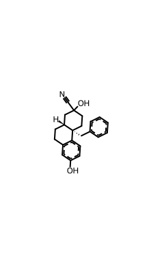 N#CC1(O)CC[C@@]2(Cc3ccccc3)c3ccc(O)cc3CC[C@@H]2C1